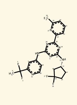 CC(F)(F)c1cc(Nc2nc(N[C@@H]3CCC(F)(F)C3)nc(-c3cccc(C(F)(F)F)n3)n2)ccn1